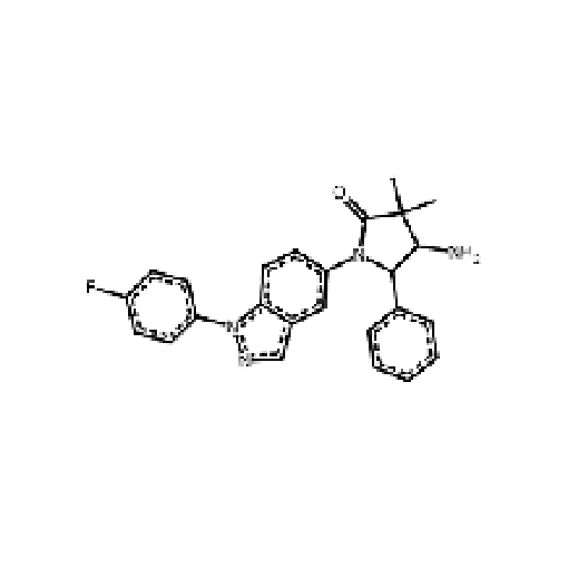 CC1(C)C(=O)N(c2ccc3c(cnn3-c3ccc(F)cc3)c2)C(c2ccccc2)C1N